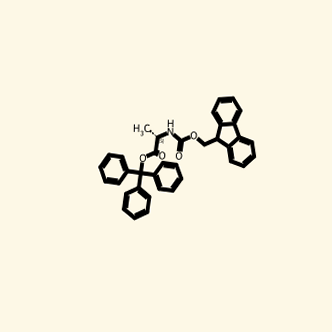 C[C@H](NC(=O)OCC1c2ccccc2-c2ccccc21)C(=O)OC(c1ccccc1)(c1ccccc1)c1ccccc1